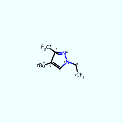 CC(C)(C)c1cn(CC(F)(F)F)nc1C(F)(F)F